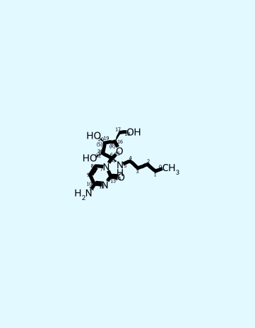 CCCCCN[C@@]1(n2ccc(N)nc2=O)O[C@H](CO)[C@@H](O)[C@H]1O